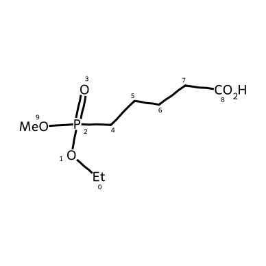 CCOP(=O)(CCCCC(=O)O)OC